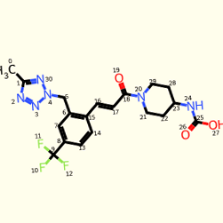 Cc1nnn(Cc2cc(C(F)(F)F)ccc2C=CC(=O)N2CCC(NC(=O)O)CC2)n1